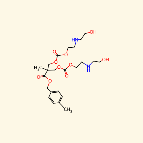 Cc1ccc(COC(=O)C(C)(COC(=O)OCCNCCO)COC(=O)OCCNCCO)cc1